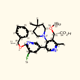 Cc1ncc(-c2cnc(O[C@H](C)c3ccccc3)c(F)c2)c(N2CCC(C)(C)CC2)c1[C@H](OC(C)(C)C)C(=O)O